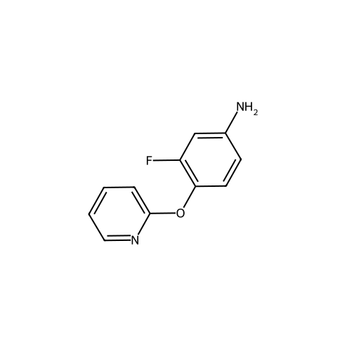 Nc1ccc(Oc2ccccn2)c(F)c1